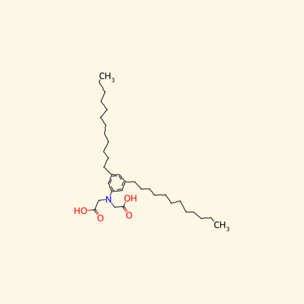 CCCCCCCCCCCCc1cc(CCCCCCCCCCCC)cc(N(CC(=O)O)CC(=O)O)c1